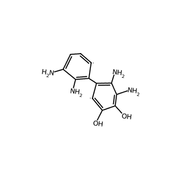 Nc1cc[c]c(-c2[c]c(O)c(O)c(N)c2N)c1N